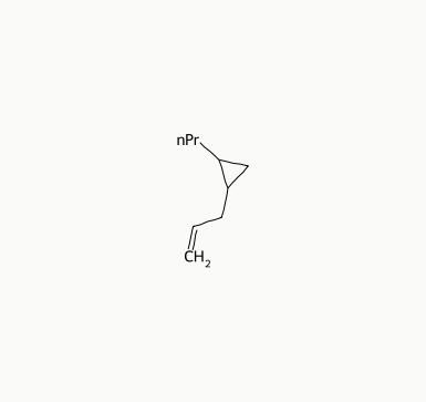 C=CCC1CC1CCC